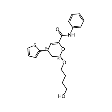 O=C(Nc1ccccc1)C1=C[C@H](c2cccs2)C[C@H](OCCCCO)O1